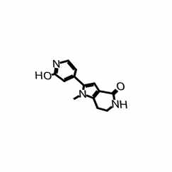 Cn1c(-c2ccnc(O)c2)cc2c1CCNC2=O